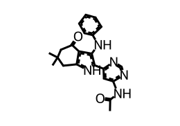 CC(=O)Nc1cc(-c2[nH]c3c(c2Nc2ccccc2)C(=O)CC(C)(C)C3)ncn1